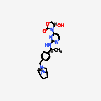 CC(=O)N1C2CCC1CN(Cc1ccc([C@H](C)Nc3nccc(N4C(=O)OC[C@@H]4O)n3)cc1)C2